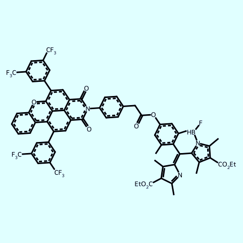 CCOC(=O)C1=C(C)/C(=C(\c2c(C)cc(OC(=O)Cc3ccc(-n4c(=O)c5cc(-c6cc(C(F)(F)F)cc(C(F)(F)F)c6)c6oc7ccccc7c7c(-c8cc(C(F)(F)F)cc(C(F)(F)F)c8)cc(c4=O)c5c67)cc3)cc2C)c2c(C)c(C(=O)OCC)c(C)n2BF)N=C1C